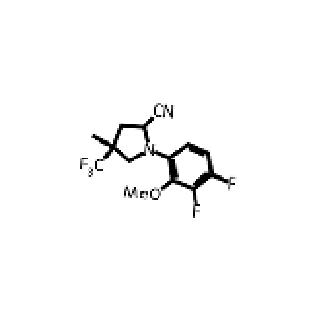 COc1c(N2CC(C)(C(F)(F)F)CC2C#N)ccc(F)c1F